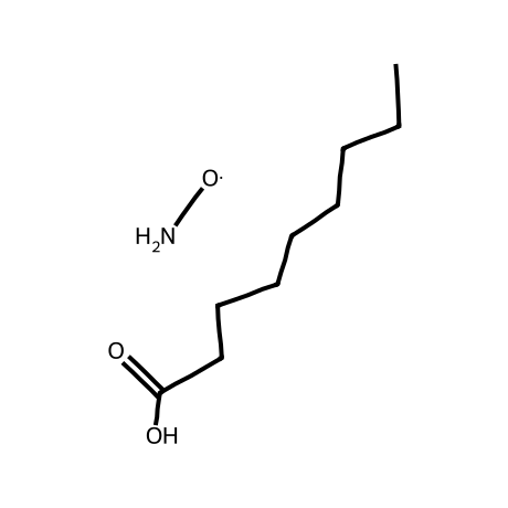 CCCCCCCCC(=O)O.N[O]